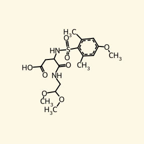 COc1cc(C)c(S(=O)(=O)NC(CC(=O)O)C(=O)NCC(OC)OC)c(C)c1